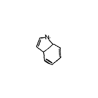 C1=CC2C=C[N]C2C=C1